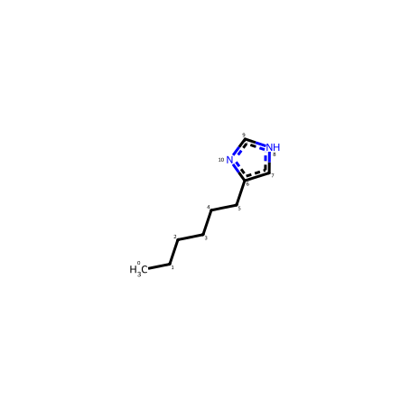 CCCCCCc1c[nH][c]n1